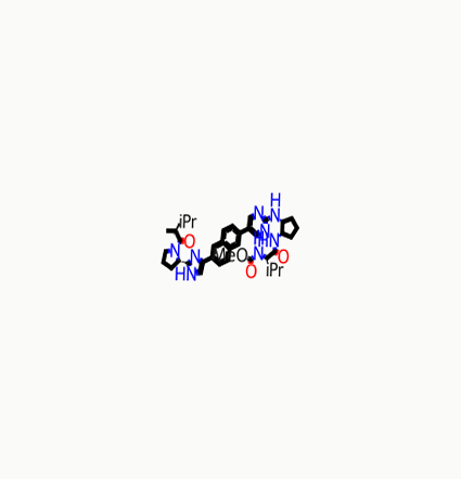 COC(=O)N[C@H](C(=O)N[C@@H]1CCC[C@H]1Nc1ncc(-c2ccc3cc(-c4c[nH]c([C@@H]5CCCN5C(=O)[C@@H](C)C(C)C)n4)ccc3c2)cn1)C(C)C